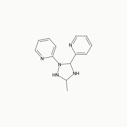 CC1NC(c2ccccn2)N(c2ccccn2)N1